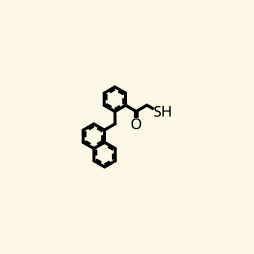 O=C(CS)c1ccccc1Cc1cccc2ccccc12